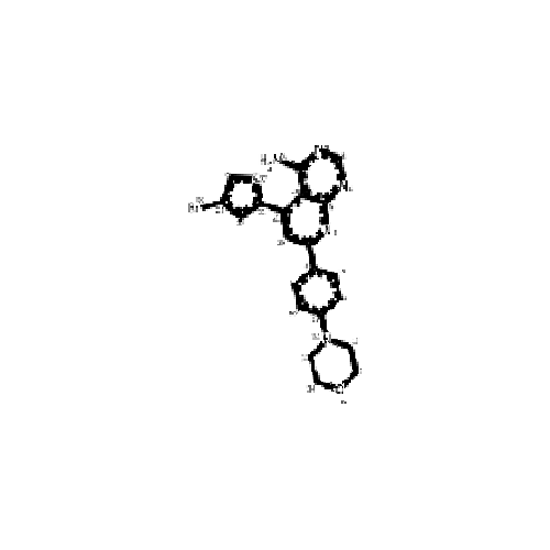 Nc1ncnc2nc(-c3ccc(N4CCOCC4)cc3)cc(-c3cc(Br)cs3)c12